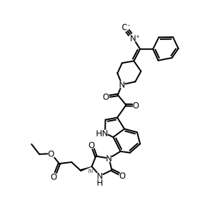 [C-]#[N+]C(=C1CCN(C(=O)C(=O)c2c[nH]c3c(N4C(=O)N[C@@H](CCC(=O)OCC)C4=O)cccc23)CC1)c1ccccc1